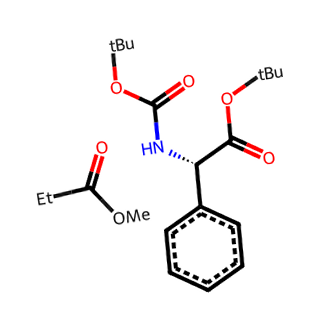 CC(C)(C)OC(=O)N[C@H](C(=O)OC(C)(C)C)c1ccccc1.CCC(=O)OC